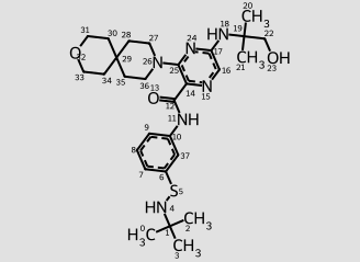 CC(C)(C)NSc1cccc(NC(=O)c2ncc(NC(C)(C)CO)nc2N2CCC3(CCOCC3)CC2)c1